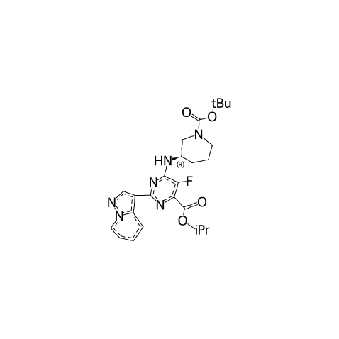 CC(C)OC(=O)c1nc(-c2cnn3ccccc23)nc(N[C@@H]2CCCN(C(=O)OC(C)(C)C)C2)c1F